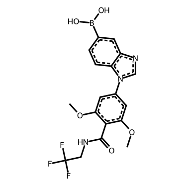 COc1cc(-n2cnc3cc(B(O)O)ccc32)cc(OC)c1C(=O)NCC(F)(F)F